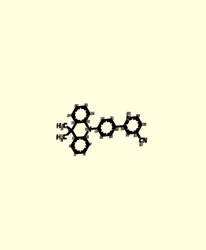 CC1(C)c2ccccc2N(c2ccc(-c3cc(C#N)ccn3)cc2)c2ccccc21